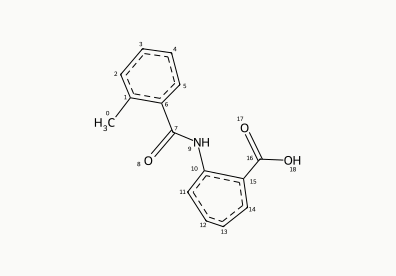 Cc1ccccc1C(=O)Nc1ccccc1C(=O)O